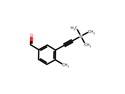 Cc1ccc(C=O)cc1C#C[Si](C)(C)C